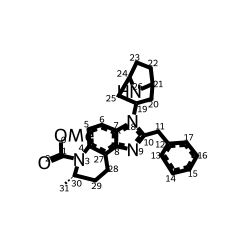 COC(=O)N1c2ccc3c(nc(Cc4ccccc4)n3C3CC4CCC(C3)N4)c2CC[C@@H]1C